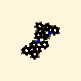 c1ccc(-c2ccccc2N(c2ccc3c(c2)C2(c4ccccc4-3)c3ccccc3-n3c4ccccc4c4cccc2c43)c2ccc3c4ccccc4c4ccccc4c3c2)cc1